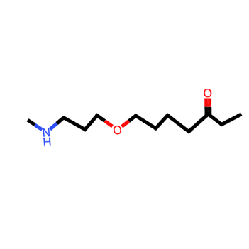 CCC(=O)CCCCOCCCNC